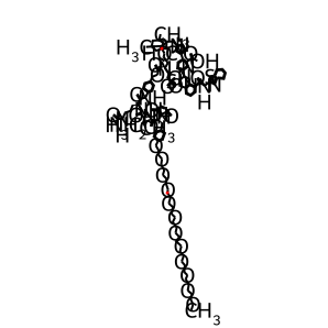 COCCOCCOCCOCCOCCOCCOCCOCCOCCOCCOCCOc1ccc(C[C@@H](C(=O)N[C@H](C(=O)N[C@@H](CCCNC(N)=O)C(=O)Nc2ccc(COC(=O)N(CCOC34CC5(C)CC(C)(CC(Cn6ncc(-c7ccc(N8CCc9cccc(C(=O)Nc%10nc%11ccccc%11s%10)c9C8)nc7C(=O)O)c6C)(C5)C3)C4)CCS(=O)(=O)O)cc2)C(C)C)N2C(=O)C=CC2=O)cc1